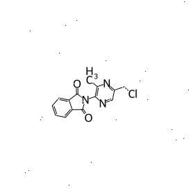 Cc1nc(CCl)cnc1N1C(=O)c2ccccc2C1=O